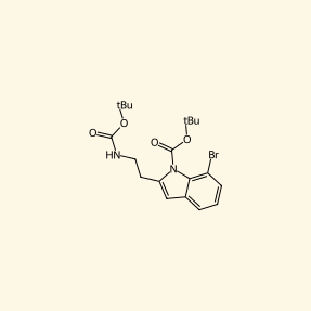 CC(C)(C)OC(=O)NCCc1cc2cccc(Br)c2n1C(=O)OC(C)(C)C